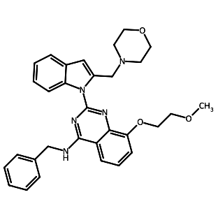 COCCOc1cccc2c(NCc3ccccc3)nc(-n3c(CN4CCOCC4)cc4ccccc43)nc12